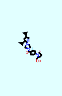 O=C(c1ccc(N2C(=O)CCC2CO)cc1F)N1CCN(c2ncc(C3CC3)cc2C2CC2)CC1